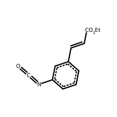 CCOC(=O)C=Cc1cccc(N=C=O)c1